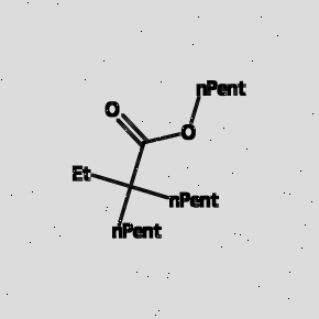 CCCCCOC(=O)C(CC)(CCCCC)CCCCC